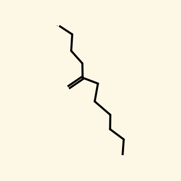 [CH2]CCCC(=C)CCCCCC